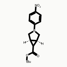 CC(C)(C)OC(=O)C1[C@H]2CN(c3ccc([N+](=O)[O-])cc3)C[C@@H]12